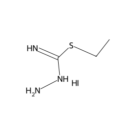 CCSC(=N)NN.I